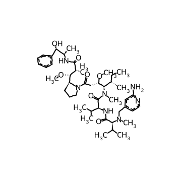 CC[C@H](C)[C@@H]([C@H](CC(=O)N1CCC[C@H]1[C@H](OC)[C@@H](C)C(=O)N[C@H](C)[C@H](O)c1ccccc1)OC)N(C)C(=O)[C@@H](NC(=O)[C@H](C(C)C)N(C)Cc1ccnc(N)c1)C(C)C